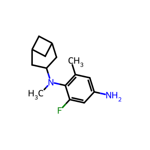 Cc1cc(N)cc(F)c1N(C)C1CC2CC(C2)C1